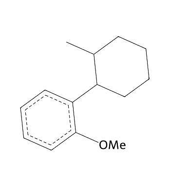 COc1ccccc1C1CCCCC1C